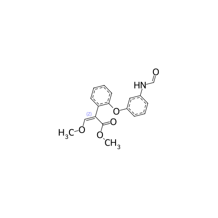 CO/C=C(\C(=O)OC)c1ccccc1Oc1cccc(NC=O)c1